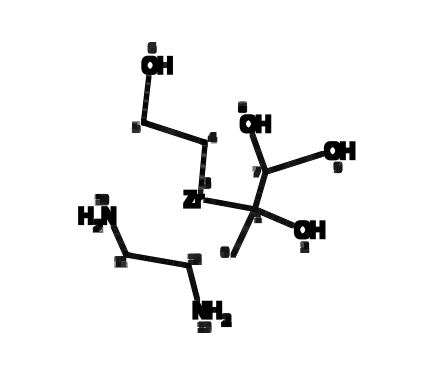 C[C](O)([Zr][CH2]CO)C(O)O.NCCN